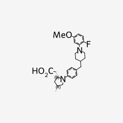 COc1ccc(F)c(N2CCC(Cc3ccc(N4C[C@H](C)C[C@@H]4CC(=O)O)cc3)CC2)c1